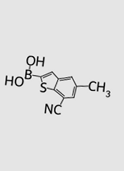 Cc1cc(C#N)c2sc(B(O)O)cc2c1